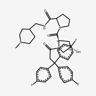 CN1CCC(CNC(=O)C2CCCN2C(=O)[C@H]2C[C@H](O)CN2C(=O)CC(c2ccc(F)cc2)(c2ccc(F)cc2)c2ccc(F)cc2)CC1